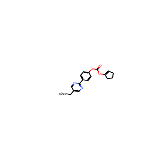 CCCCCCCCCCCc1cnc(-c2ccc(OC(=O)OC3=CCCC3)cc2)nc1